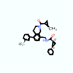 CC1CC1C(=O)N1CCc2c(-c3cccc(C(=O)O)c3)ccc(CNC(=O)[C@H]3C[C@@H]3c3ccccc3)c2C1